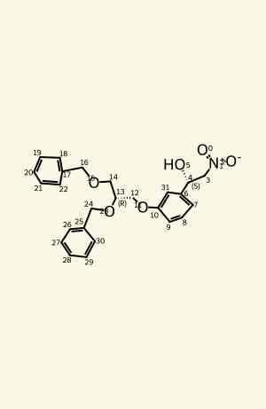 O=[N+]([O-])C[C@@H](O)c1cccc(OC[C@@H](COCc2ccccc2)OCc2ccccc2)c1